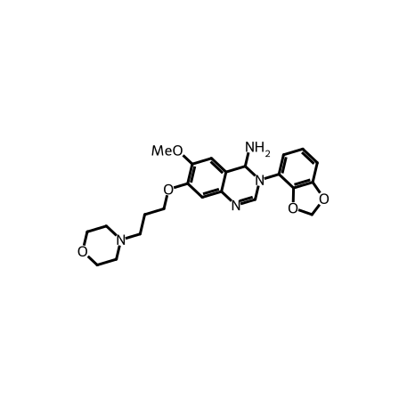 COc1cc2c(cc1OCCCN1CCOCC1)N=CN(c1cccc3c1OCO3)C2N